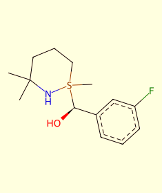 CC1(C)CCCS(C)([C@H](O)c2cccc(F)c2)N1